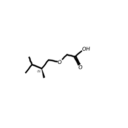 CC(C)[C@H](C)COCC(=O)O